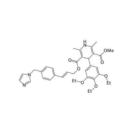 CCOc1cc(C2C(C(=O)OC)=C(C)NC(C)=C2C(=O)OCC=Cc2ccc(Cn3ccnc3)cc2)cc(OCC)c1OCC